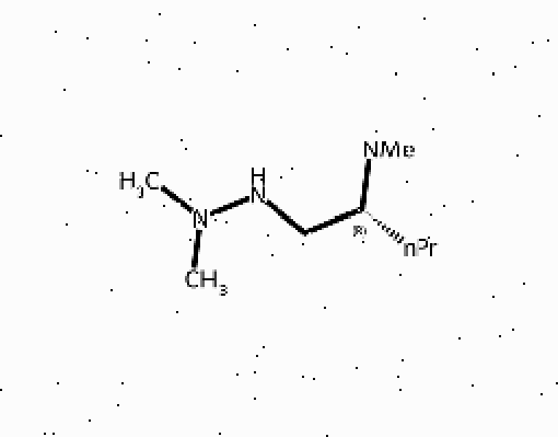 CCC[C@H](CNN(C)C)NC